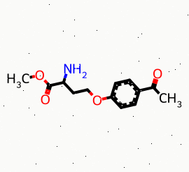 COC(=O)C(N)CCOc1ccc(C(C)=O)cc1